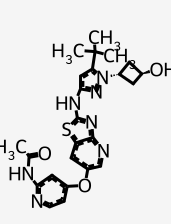 CC(=O)Nc1cc(Oc2cnc3nc(Nc4cc(C(C)(C)C)n([C@H]5C[C@H](O)C5)n4)sc3c2)ccn1